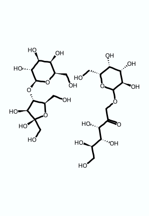 O=C(COC1O[C@H](CO)[C@H](O)[C@H](O)[C@H]1O)[C@@H](O)[C@H](O)[C@H](O)CO.OC[C@H]1O[C@@H](O[C@@H]2[C@@H](CO)O[C@](O)(CO)[C@H]2O)[C@H](O)[C@@H](O)[C@H]1O